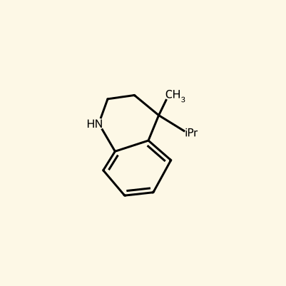 CC(C)C1(C)CCNc2ccccc21